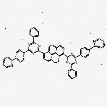 c1ccc(-c2nc(-c3ccc(-c4ccccn4)cc3)nc(-c3ccc4ccc5c(-c6nc(-c7ccccc7)nc(-c7ccc(-c8ccccn8)cc7)n6)ccc6c5c4c3CC6)n2)cc1